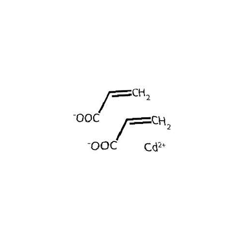 C=CC(=O)[O-].C=CC(=O)[O-].[Cd+2]